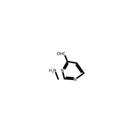 CN.O=Cc1ccncn1